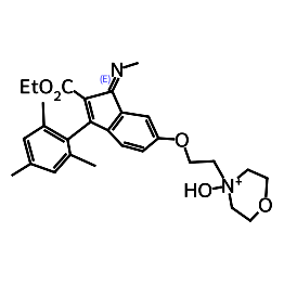 CCOC(=O)C1=C(c2c(C)cc(C)cc2C)c2ccc(OCC[N+]3(O)CCOCC3)cc2/C1=N\C